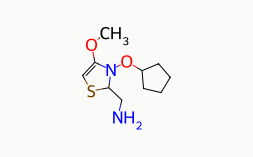 COC1=CSC(CN)N1OC1CCCC1